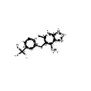 Cc1nc2nonc2c(N)c1Cc1cccc(C(F)(F)F)c1